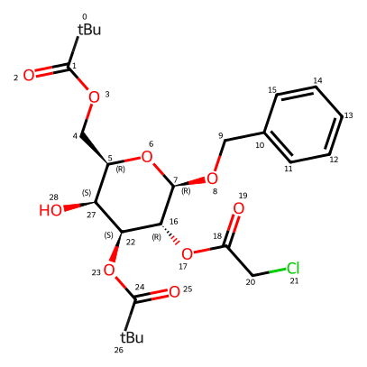 CC(C)(C)C(=O)OC[C@H]1O[C@@H](OCc2ccccc2)[C@H](OC(=O)CCl)[C@@H](OC(=O)C(C)(C)C)[C@H]1O